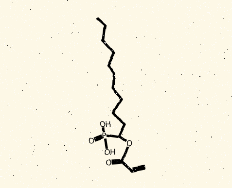 C=CC(=O)OC(CCCCCCCCCC)P(=O)(O)O